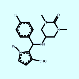 CC(C)n1ccc(C=O)c1C(NC1CN(C)C(=O)N(C)C1)c1ccc(Cl)cc1